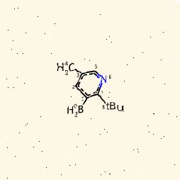 Bc1cc(C)cnc1C(C)(C)C